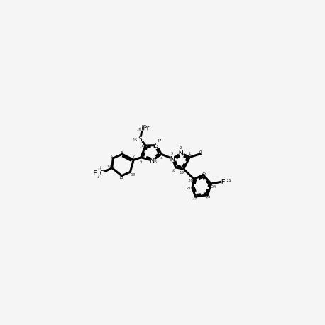 Cc1nn(-c2nc(C3=CCC(C(F)(F)F)CC3)c(SC(C)C)s2)cc1-c1cccc(F)c1